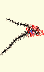 CCCCCCCCC/C=C/CCCC[C@@H](O)[C@H](CO[C@@H]1O[C@H](CO)[C@@H](O)C(O)C1O)NC(=O)[C@H](O)CCCCCCCCCCCCCCCCCCCC